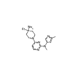 CCC1(N)CCN(c2ccnc(N(C)c3cnn(C)c3)n2)CC1